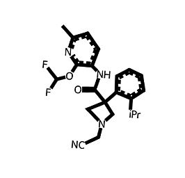 Cc1ccc(NC(=O)C2(c3ccccc3C(C)C)CN(CC#N)C2)c(OC(F)F)n1